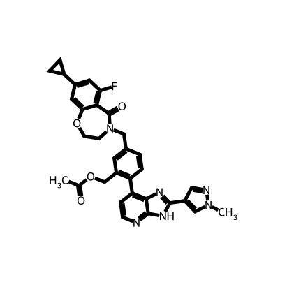 CC(=O)OCc1cc(CN2CCOc3cc(C4CC4)cc(F)c3C2=O)ccc1-c1ccnc2[nH]c(-c3cnn(C)c3)nc12